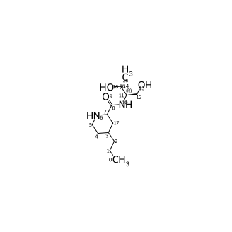 CCCC1CCNC(C(=O)N[C@H](CO)[C@@H](C)O)C1